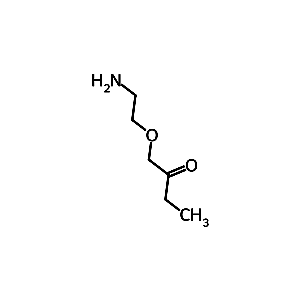 CCC(=O)COCCN